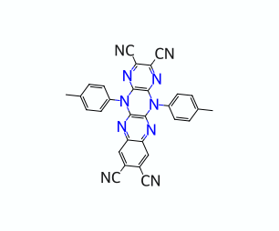 Cc1ccc(N2c3nc(C#N)c(C#N)nc3N(c3ccc(C)cc3)c3nc4cc(C#N)c(C#N)cc4nc32)cc1